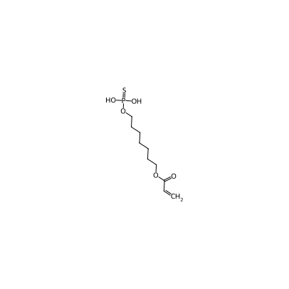 C=CC(=O)OCCCCCCCOP(O)(O)=S